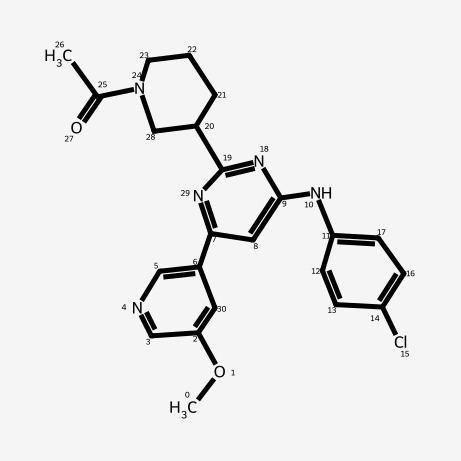 COc1cncc(-c2cc(Nc3ccc(Cl)cc3)nc(C3CCCN(C(C)=O)C3)n2)c1